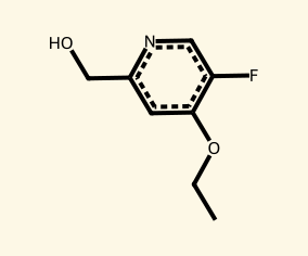 CCOc1cc(CO)ncc1F